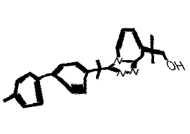 Cc1ccc(-c2ccc(C(C)(C)c3nnc4c(C(C)(C)CO)cccn34)cc2)cc1